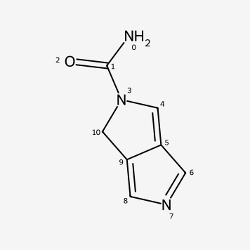 NC(=O)N1C=C2C=NC=C2C1